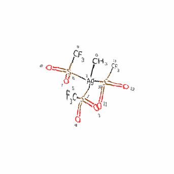 [CH3][Ag]([S](=O)(=O)C(F)(F)F)([S](=O)(=O)C(F)(F)F)[S](=O)(=O)C(F)(F)F